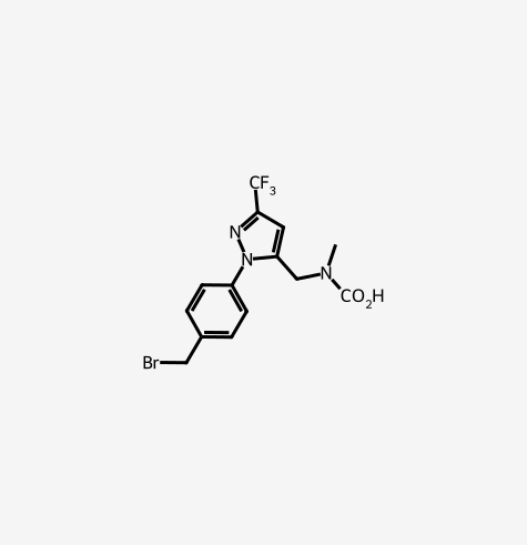 CN(Cc1cc(C(F)(F)F)nn1-c1ccc(CBr)cc1)C(=O)O